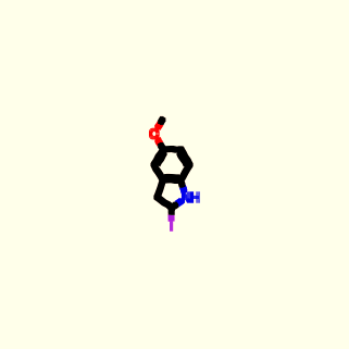 COc1ccc2c(c1)CC(I)N2